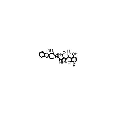 C=C(c1c(O)cc[nH]c1=O)c1n[nH]c2nc(N3CCC4(CC3)Cc3ccccc3[C@H]4N)[nH]c(=O)c12